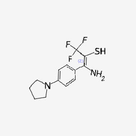 N/C(=C(\S)C(F)(F)F)c1ccc(N2CCCC2)cc1